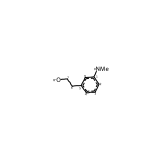 CNc1cccc(CC[O])c1